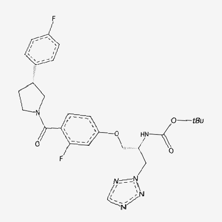 CC(C)(C)OC(=O)N[C@@H](COc1ccc(C(=O)N2CC[C@H](c3ccc(F)cc3)C2)c(F)c1)Cn1ncnn1